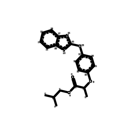 CC(C)COC(=O)C(C)Oc1ccc(Oc2nc3ccccc3s2)cc1